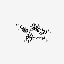 C=C1C=CC(=O)N1CCCCCCN(C)[C@@H](C)C(=O)OC1CC(=O)N(C)c2cc(cc(OC)c2Cl)C/C(C)=C/C=C/C(OC)C2(O)CC(OC(=O)N2)C(C)C2OC12C